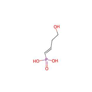 O=P(O)(O)/C=C/CCO